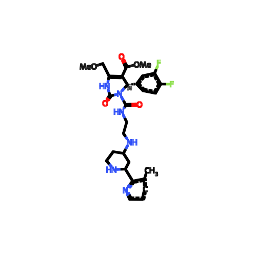 COCC1=C(C(=O)OC)[C@H](c2ccc(F)c(F)c2)N(C(=O)NCCNC2CCNC(c3ncccc3C)C2)C(=O)N1